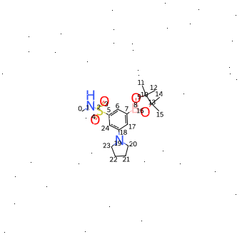 CNS(=O)(=O)c1cc(B2OC(C)(C)C(C)(C)O2)cc(N2CCCC2)c1